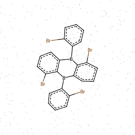 Brc1ccccc1B1c2cccc(Br)c2B(c2ccccc2Br)c2cccc(Br)c21